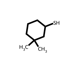 CC1(C)CCCC(S)C1